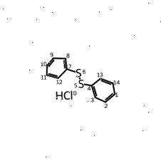 Cl.c1ccc(SSc2ccccc2)cc1